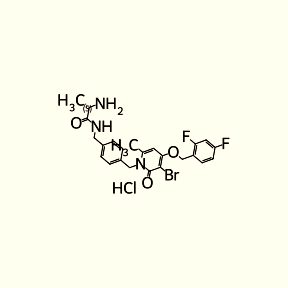 Cc1cc(OCc2ccc(F)cc2F)c(Br)c(=O)n1Cc1ccc(CNC(=O)[C@H](C)N)cc1.Cl